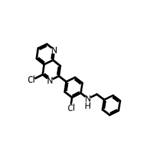 Clc1cc(-c2cc3ncccc3c(Cl)n2)ccc1NCc1ccccc1